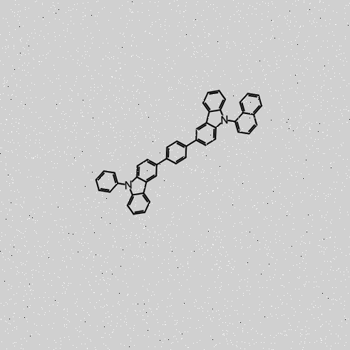 c1ccc(-n2c3ccccc3c3cc(-c4ccc(-c5ccc6c(c5)c5ccccc5n6-c5cccc6ccccc56)cc4)ccc32)cc1